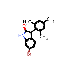 Cc1cc(C)c(C2C(=O)Nc3cc(Br)ccc32)c(C)c1